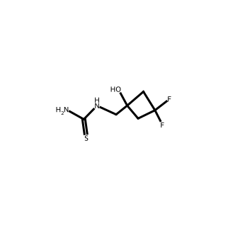 NC(=S)NCC1(O)CC(F)(F)C1